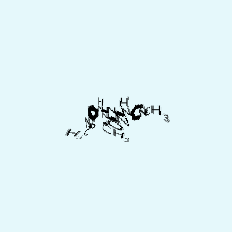 CCOc1nc(Nc2ccc3nc(C)sc3c2)nc(NC2CCN(C)CC2)n1